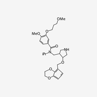 COCCCOc1cc(C(=O)N(CC2CNCC2OCc2cccc3c2OCCO3)C(C)C)ccc1OC